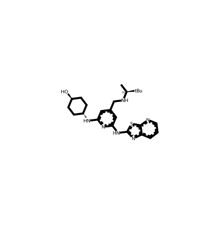 C[C@H](NCc1cc(Nc2nc3cccnc3s2)nc(N[C@H]2CC[C@H](O)CC2)c1)C(C)(C)C